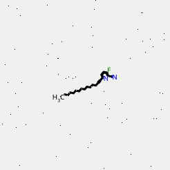 CCCCCCCCCCCCCC#Cc1ccc(F)c(C#N)n1